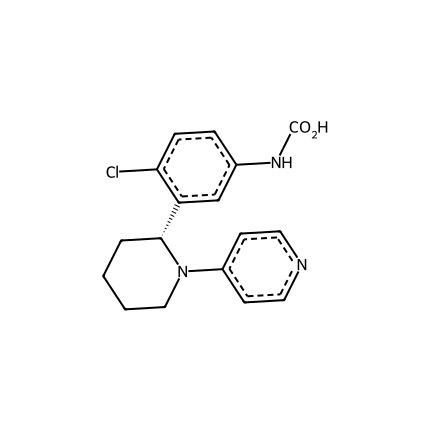 O=C(O)Nc1ccc(Cl)c([C@H]2CCCCN2c2ccncc2)c1